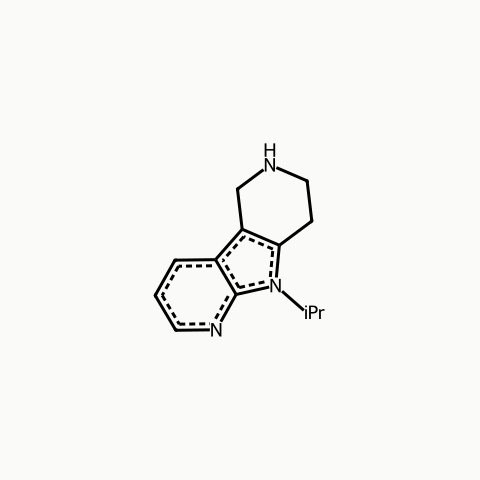 CC(C)n1c2c(c3cccnc31)CNCC2